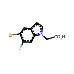 O=C(O)Cn1ccc2cc(Br)c(F)cc21